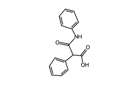 O=C(O)C(C(=O)Nc1ccccc1)c1ccccc1